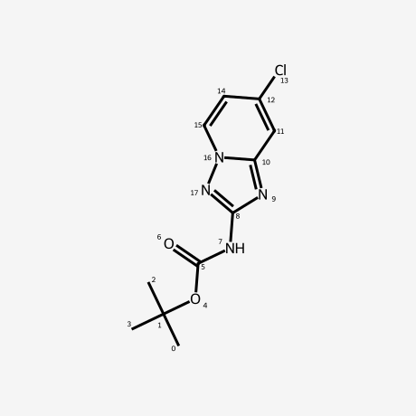 CC(C)(C)OC(=O)Nc1nc2cc(Cl)ccn2n1